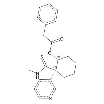 CNC(=S)[C@]1(c2cccnc2)CCCC[C@H]1OC(=O)Cc1ccccc1